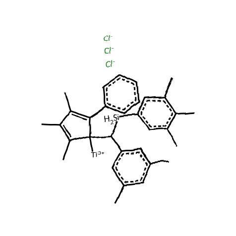 CC1=C(C)[C]([Ti+3])(C([SiH2]c2cc(C)c(C)c(C)c2)c2cc(C)cc(C)c2)C(c2ccccc2)=C1C.[Cl-].[Cl-].[Cl-]